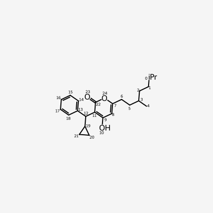 CC(C)CCC(C)CCc1cc(O)c(C(c2ccccc2)C2CC2)c(=O)o1